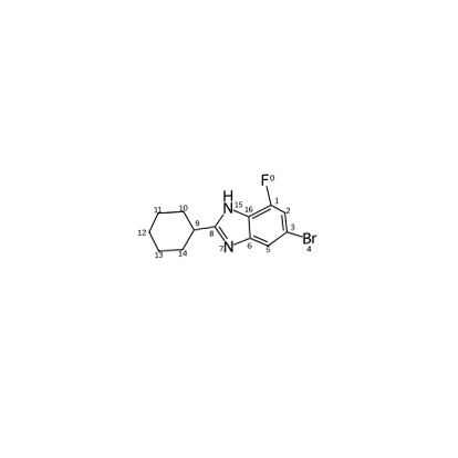 Fc1cc(Br)cc2nc(C3CCCCC3)[nH]c12